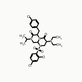 CCN(CC)C1CN(S(=O)(=O)c2ccc(Cl)cc2Cl)C2CN(C(C)C)C(=O)C(Cc3ccc(Cl)cc3)N2C1=O